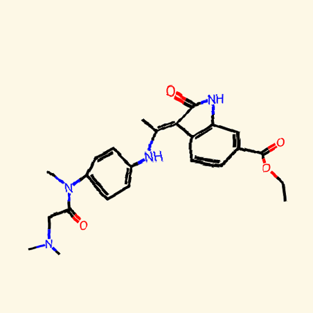 CCOC(=O)c1ccc2c(c1)NC(=O)C2=C(C)Nc1ccc(N(C)C(=O)CN(C)C)cc1